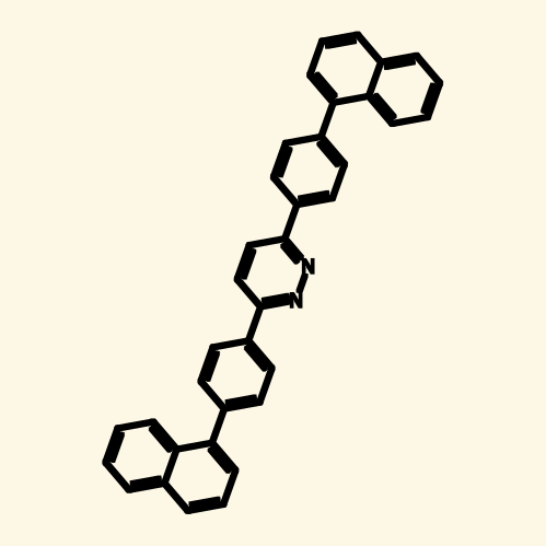 c1ccc2c(-c3ccc(-c4ccc(-c5ccc(-c6cccc7ccccc67)cc5)nn4)cc3)cccc2c1